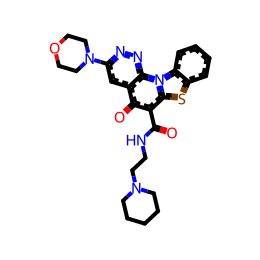 O=C(NCCN1CCCCC1)c1c(=O)c2cc(N3CCOCC3)nnc2n2c1sc1ccccc12